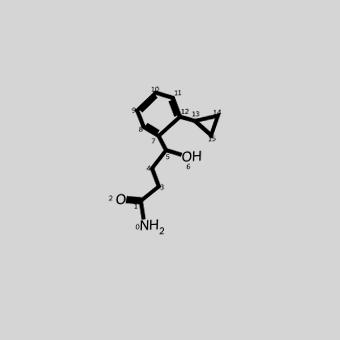 NC(=O)CCC(O)c1ccccc1C1CC1